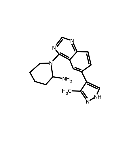 Cc1n[nH]cc1-c1ccc2ncnc(N3CCCCC3N)c2c1